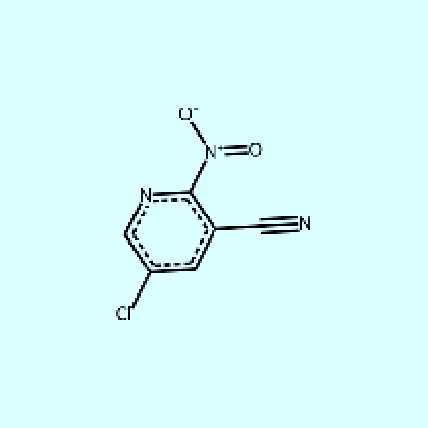 N#Cc1cc(Cl)cnc1[N+](=O)[O-]